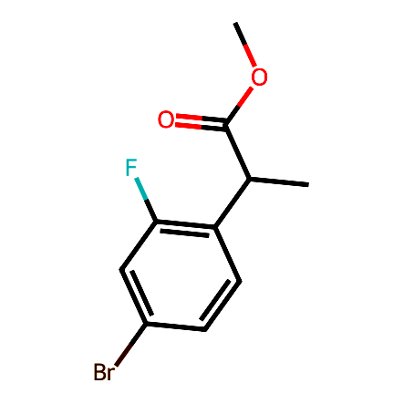 COC(=O)C(C)c1ccc(Br)cc1F